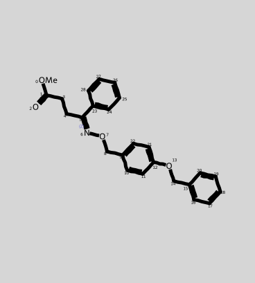 COC(=O)CC/C(=N/OCc1ccc(OCc2ccccc2)cc1)c1ccccc1